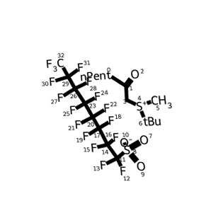 CCCCCC(=O)C[S+](C)C(C)(C)C.O=S(=O)([O-])C(F)(F)C(F)(F)C(F)(F)C(F)(F)C(F)(F)C(F)(F)C(F)(F)C(F)(F)F